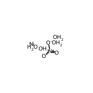 O.O.O.O.O=[N+]([O-])[O-].[Ni]